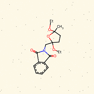 CCOC1(C)CCC(CN2C(=O)c3ccccc3C2=O)(OCC)O1